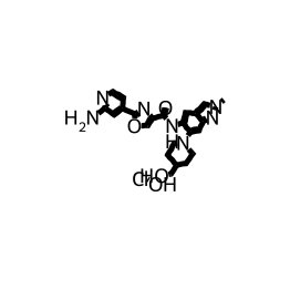 Cn1cc2cc(NC(=O)c3coc(-c4ccnc(N)c4)n3)c(N3CCC(CO)CC3)cc2n1.OCl